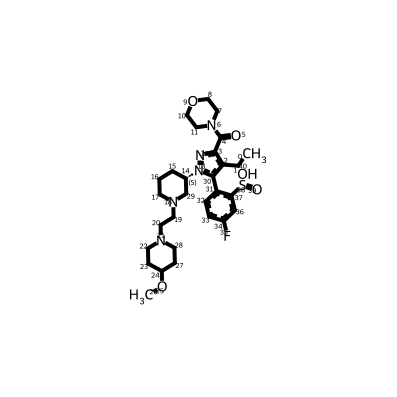 CCc1c(C(=O)N2CCOCC2)nn([C@H]2CCCN(CCN3CCC(OC)CC3)C2)c1-c1ccc(F)cc1S(=O)O